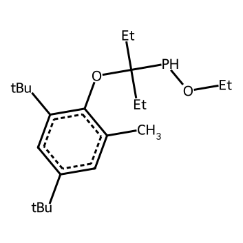 CCOPC(CC)(CC)Oc1c(C)cc(C(C)(C)C)cc1C(C)(C)C